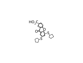 O=C(O)c1ccc2oc3c(SC4CCCC4)cc(SC4CCCC4)cc3c(=O)c2c1